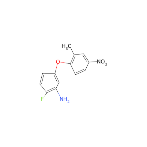 Cc1cc([N+](=O)[O-])ccc1Oc1ccc(F)c(N)c1